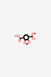 COC(=O)c1ccc(C(=O)O)c2c1OCO2